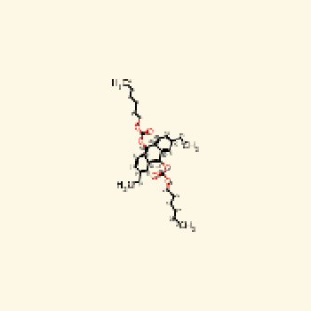 CCCCCCOC(=O)Oc1c2ccc(CC)cc2c(OC(=O)OCCCCCC)c2cc(CC)ccc12